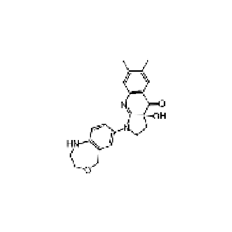 Cc1cc2c(cc1C)C(=O)C1(O)CCN(c3ccc4c(c3)COCCN4)C1=N2